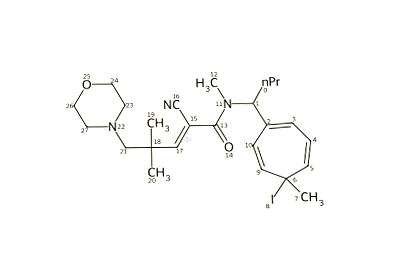 CCCC(C1=CC=CC(C)(I)C=C1)N(C)C(=O)/C(C#N)=C/C(C)(C)CN1CCOCC1